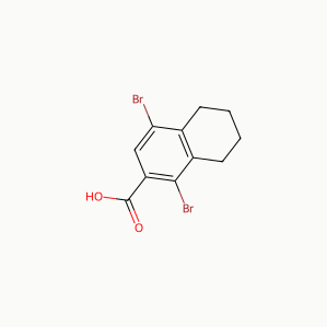 O=C(O)c1cc(Br)c2c(c1Br)CCCC2